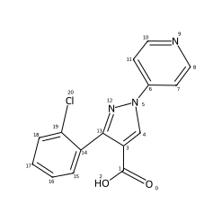 O=C(O)c1cn(-c2ccncc2)nc1-c1ccccc1Cl